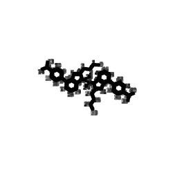 CCCCC1=Cc2c(-c3ccc(C(C)C)cc3)cccc2C1[Si](C)(C)C1C(CCCC)=Cc2c(-c3ccc(C(C)C)cc3)cccc21